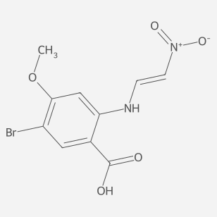 COc1cc(NC=C[N+](=O)[O-])c(C(=O)O)cc1Br